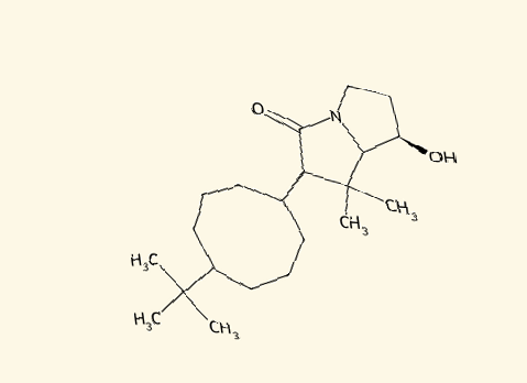 CC(C)(C)C1CCCC(C2C(=O)N3CC[C@@H](O)C3C2(C)C)CCC1